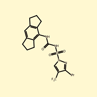 CC(C)c1nn(S(=O)(=O)NC(=O)Nc2c3c(cc4c2CCC4)CCC3)cc1C(F)(F)F